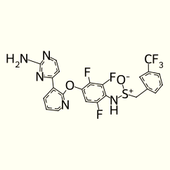 Nc1nccc(-c2cccnc2Oc2cc(F)c(N[S+]([O-])Cc3cccc(C(F)(F)F)c3)c(F)c2F)n1